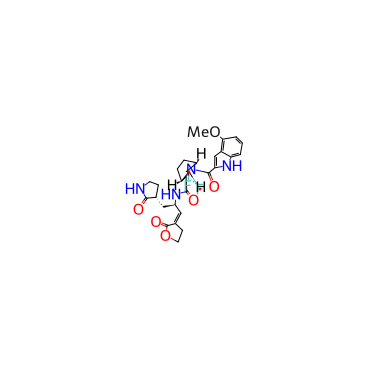 COc1cccc2[nH]c(C(=O)N3[C@H]4CC[C@@H]([C@@H]3C(=O)N[C@@H](/C=C3/CCOC3=O)C[C@H]3CCNC3=O)C(F)(F)C4)cc12